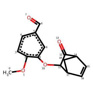 COc1ccc(C=O)cc1OC1C(=O)C2C=CC1C2